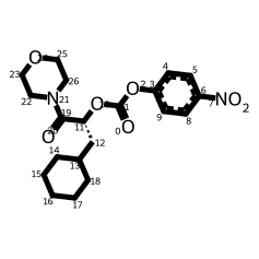 O=C(Oc1ccc([N+](=O)[O-])cc1)O[C@H](CC1CCCCC1)C(=O)N1CCOCC1